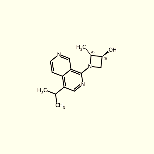 CC(C)c1cnc(N2C[C@H](O)[C@H]2C)c2cnccc12